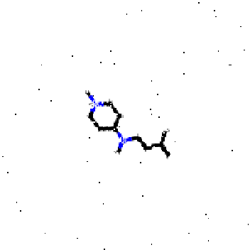 CC(C)CCN(C)C1CCN(C)CC1